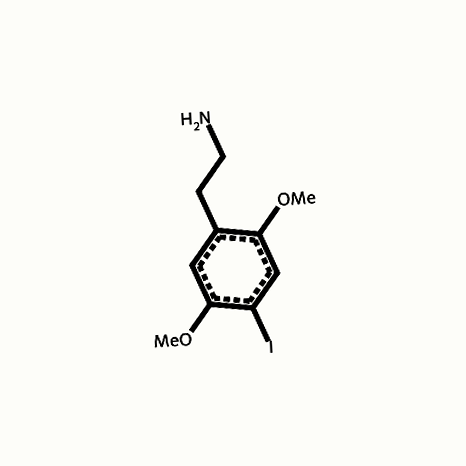 COc1cc(CCN)c(OC)cc1I